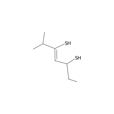 CCC(S)C=C(S)C(C)C